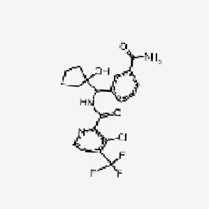 NC(=O)c1cccc(C(NC(=O)c2nccc(C(F)(F)F)c2Cl)C2(O)CCCC2)c1